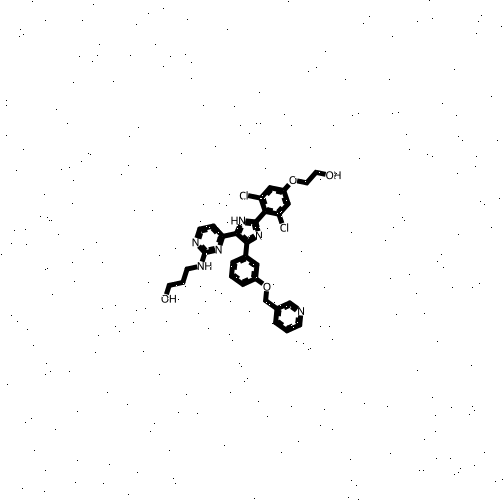 OCCCNc1nccc(-c2[nH]c(-c3c(Cl)cc(OCCO)cc3Cl)nc2-c2cccc(OCc3cccnc3)c2)n1